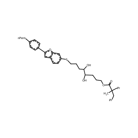 CCCCCc1ccc(-c2cc3ccc(SCCCC(O)C(O)CCCOC(=O)C(C)(CC(C)C)C(C)C)cc3o2)cc1